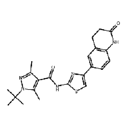 Cc1nn(C(C)(C)C)c(C)c1C(=O)Nc1nc(-c2ccc3c(c2)CCC(=O)N3)cs1